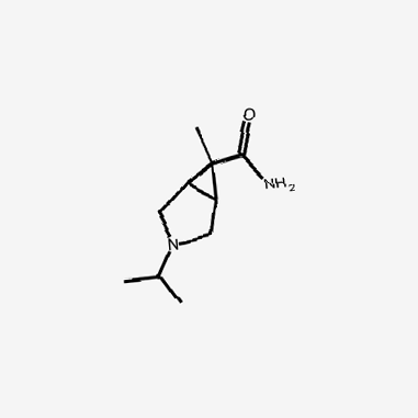 CC(C)N1CC2C(C1)C2(C)C(N)=O